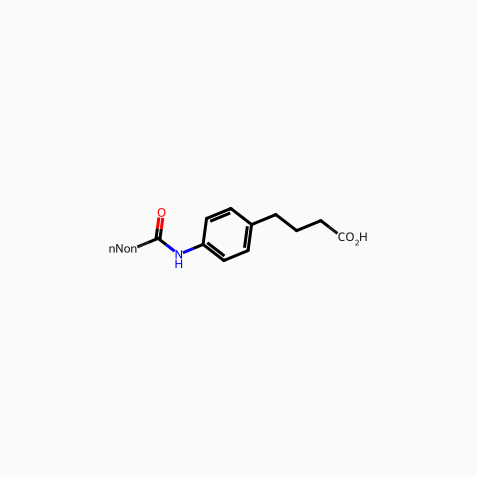 CCCCCCCCCC(=O)Nc1ccc(CCCC(=O)O)cc1